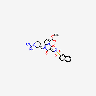 COC(=O)[C@@H]1CCCN1C(=O)[C@@H](CNS(=O)(=O)c1ccc2ccccc2c1)C(=O)NC[C@@H]1CCCN(C(=N)N)C1